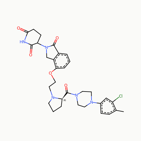 Cc1ccc(N2CCN(C(=O)[C@H]3CCCN3CCOc3cccc4c3CN(C3CCC(=O)NC3=O)C4=O)CC2)cc1Cl